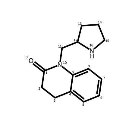 O=C1CCc2ccccc2N1CC1CCCN1